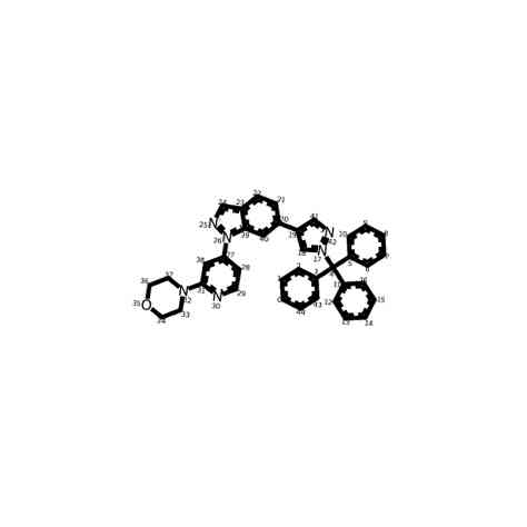 c1ccc(C(c2ccccc2)(c2ccccc2)n2cc(-c3ccc4cnn(-c5ccnc(N6CCOCC6)c5)c4c3)cn2)cc1